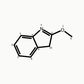 COC1=Nc2ccccc2C1